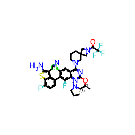 C[C@H](Oc1nc(N2CCCC3(CN(C(=O)C(F)(F)F)C3)C2)c2cc(Cl)c(-c3ccc(F)c4sc(N)c(C#N)c34)c(F)c2n1)[C@@H]1CCCN1C